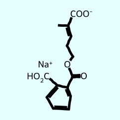 CC(=CCCOC(=O)c1ccccc1C(=O)O)C(=O)[O-].[Na+]